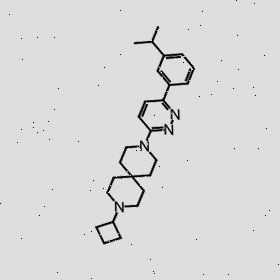 CC(C)c1cccc(-c2ccc(N3CCC4(CC3)CCN(C3CCC3)CC4)nn2)c1